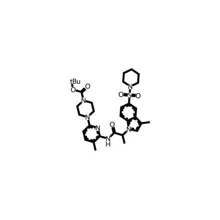 Cc1ccc(N2CCN(C(=O)OC(C)(C)C)CC2)nc1NC(=O)C(C)n1cc(C)c2cc(S(=O)(=O)N3CCCCC3)ccc21